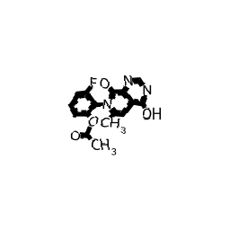 CC(=O)Oc1cccc(F)c1-n1c(C)cc2c(O)ncnc2c1=O